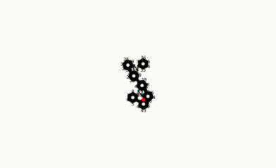 c1ccc(-c2ccccc2-n2c3ccccc3c3ccc(-c4ccc5c6ccccc6n(-c6ccccc6)c5c4)cc32)cc1